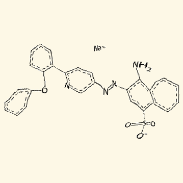 Nc1c(N=Nc2ccc(-c3ccccc3Oc3ccccc3)nc2)cc(S(=O)(=O)[O-])c2ccccc12.[Na+]